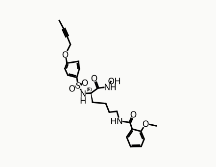 CC#CCOc1ccc(S(=O)(=O)N[C@H](CCCCNC(=O)c2ccccc2OC)C(=O)NO)cc1